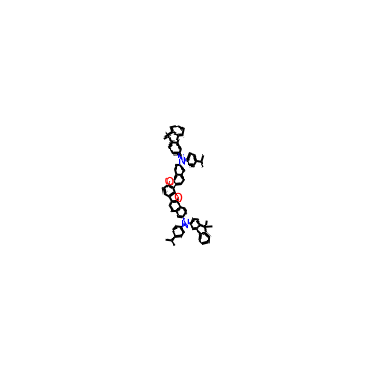 CC(C)c1ccc(N(c2ccc3c(c2)-c2ccccc2C3(C)C)c2ccc3c(ccc4c5ccc6oc7c8ccc(N(c9ccc(C(C)C)cc9)c9ccc%10c(c9)-c9ccccc9C%10(C)C)cc8ccc7c6c5oc34)c2)cc1